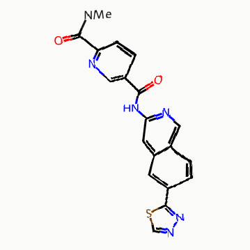 CNC(=O)c1ccc(C(=O)Nc2cc3cc(-c4nncs4)ccc3cn2)cn1